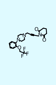 O=C1CCCC(=O)N1CC#CCN1CCN(c2ccccc2OCC(F)(F)F)CC1